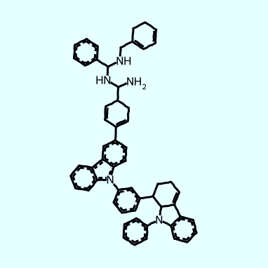 NC(NC(NCC1=CC=CCC1)c1ccccc1)C1C=CC(c2ccc3c(c2)c2ccccc2n3-c2cccc(C3CCC=C4c5ccccc5N(c5ccccc5)C43)c2)=CC1